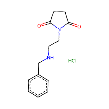 Cl.O=C1CCC(=O)N1CCNCc1ccccc1